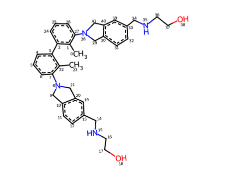 Cc1c(-c2cccc(N3Cc4ccc(CNCCO)cc4C3)c2C)cccc1N1Cc2ccc(CNCCO)cc2C1